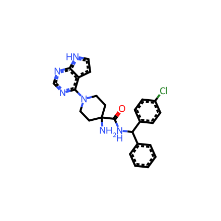 NC1(C(=O)NC(c2ccccc2)c2ccc(Cl)cc2)CCN(c2ncnc3[nH]ccc23)CC1